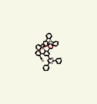 N#Cc1ccccc1-c1cc(-c2cc(-c3ccccc3)nc(-c3ccccc3)n2)cc(-c2ccccc2C#N)c1-n1c2ccccc2c2cc3c4ccccc4n(-c4ccccc4)c3cc21